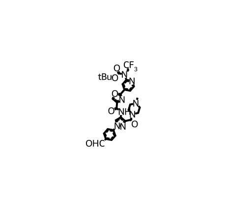 CN1CCN(C(=O)c2nn(-c3ccc(C=O)cc3)cc2NC(=O)c2coc(-c3ccnc(N(CC(F)(F)F)C(=O)OC(C)(C)C)c3)n2)CC1